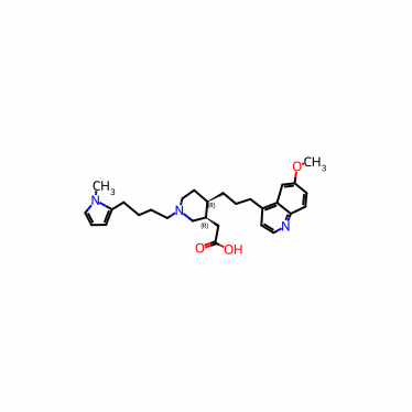 COc1ccc2nccc(CCC[C@@H]3CCN(CCCCc4cccn4C)C[C@@H]3CC(=O)O)c2c1